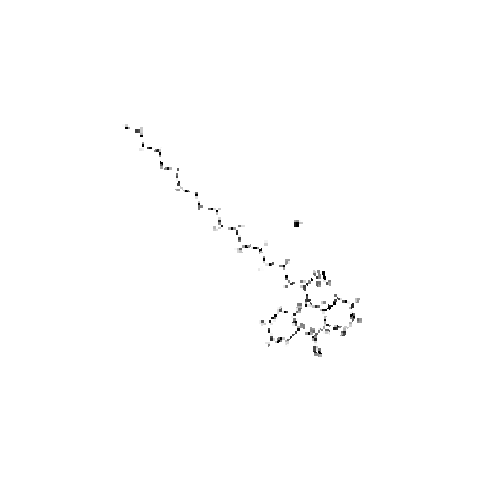 CCCCCCCCCCCCCCCCCC(N)Oc1ccccc1C(=O)c1ccccc1.I